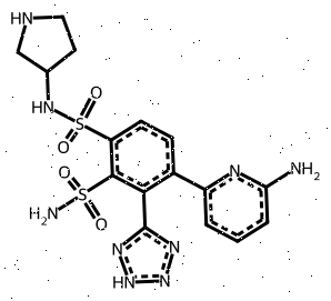 Nc1cccc(-c2ccc(S(=O)(=O)NC3CCNC3)c(S(N)(=O)=O)c2-c2nn[nH]n2)n1